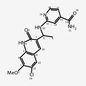 COc1cc2[nH]c(=O)c(C(C)Nc3cc(C(N)=O)ccn3)cc2cc1Cl